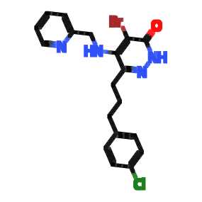 O=c1[nH]nc(CCCc2ccc(Cl)cc2)c(NCc2ccccn2)c1Br